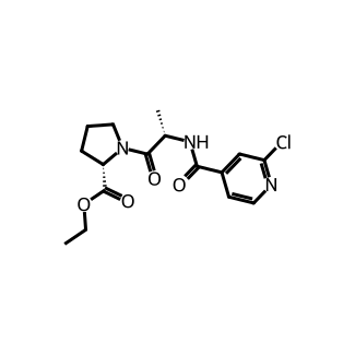 CCOC(=O)[C@@H]1CCCN1C(=O)[C@H](C)NC(=O)c1ccnc(Cl)c1